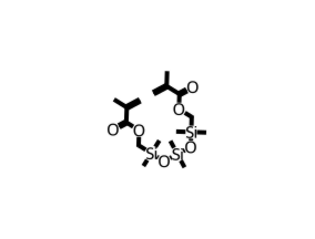 C=C(C)C(=O)OC[Si](C)(C)O[Si](C)(C)O[Si](C)(C)COC(=O)C(=C)C